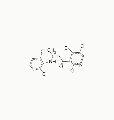 CC(=CC(=O)c1c(Cl)ncc(Cl)c1Cl)Nc1c(Cl)cccc1Cl